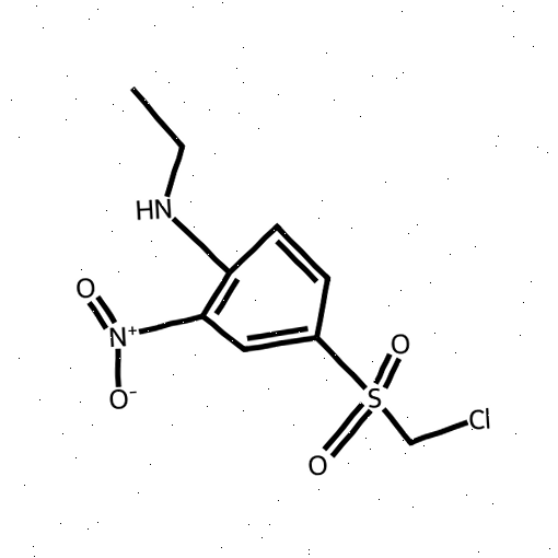 CCNc1ccc(S(=O)(=O)CCl)cc1[N+](=O)[O-]